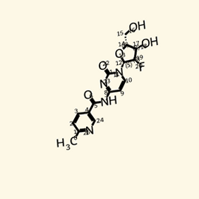 Cc1ccc(C(=O)Nc2ccn([C@H]3O[C@H](CO)[C@@H](O)[C@H]3F)c(=O)n2)cn1